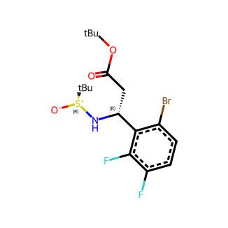 CC(C)(C)OC(=O)C[C@@H](N[S@@+]([O-])C(C)(C)C)c1c(Br)ccc(F)c1F